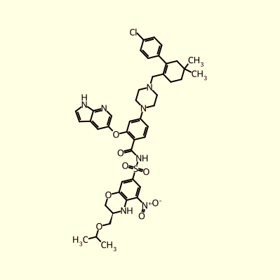 CC(C)OC[C@H]1COc2cc(S(=O)(=O)NC(=O)c3ccc(N4CCN(CC5=C(c6ccc(Cl)cc6)CC(C)(C)CC5)CC4)cc3Oc3cnc4[nH]ccc4c3)cc([N+](=O)[O-])c2N1